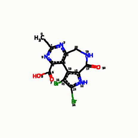 Cc1nc2c(c(C(=O)O)n1)-c1c([nH]c(Br)c1Br)C(=O)NC2